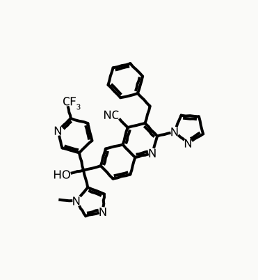 Cn1cncc1C(O)(c1ccc(C(F)(F)F)nc1)c1ccc2nc(-n3cccn3)c(Cc3ccccc3)c(C#N)c2c1